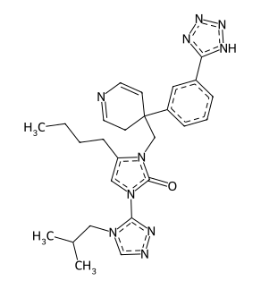 CCCCc1cn(-c2nncn2CC(C)C)c(=O)n1CC1(c2cccc(-c3nnn[nH]3)c2)C=CN=CC1